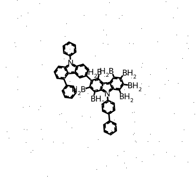 Bc1c(B)c(B)c2c(c1B)c1c(B)c(-c3ccc4c(c3)c3c(-c5ccccc5)cccc3n4-c3ccccc3)c(B)c(B)c1n2-c1ccc(-c2ccccc2)cc1